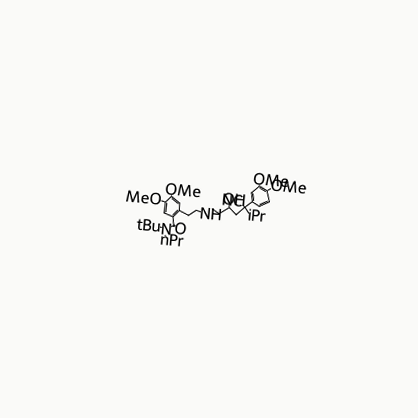 CCCN(C(=O)c1cc(OC)c(OC)cc1CCNCCC(O)CC(C#N)(c1ccc(OC)c(OC)c1)C(C)C)C(C)(C)C